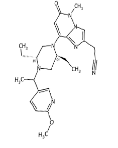 CC[C@H]1CN(C(C)c2ccc(OC)nc2)[C@H](CC)CN1c1cc(=O)n(C)n2cc(CC#N)nc12